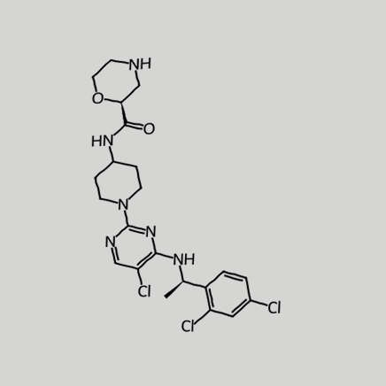 C[C@@H](Nc1nc(N2CCC(NC(=O)[C@@H]3CNCCO3)CC2)ncc1Cl)c1ccc(Cl)cc1Cl